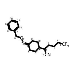 N#CC(CCCC(F)(F)F)C1CCC(=NOCc2ccccc2)CC1